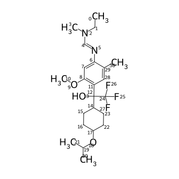 CCN(C)C=Nc1cc(OC)c(C(O)(C2CCC(OC(C)C)CC2)C(F)(F)F)cc1C